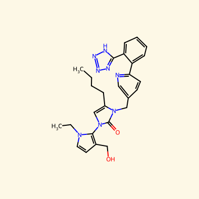 CCCCc1cn(-c2c(CO)ccn2CC)c(=O)n1Cc1ccc(-c2ccccc2-c2nnn[nH]2)nc1